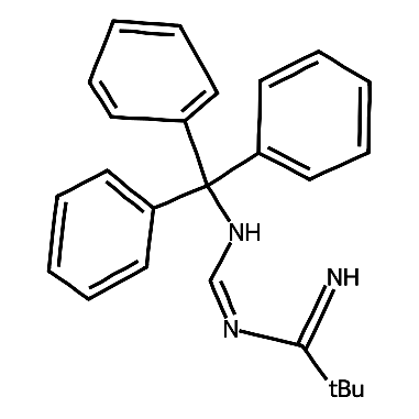 CC(C)(C)C(=N)/N=C\NC(c1ccccc1)(c1ccccc1)c1ccccc1